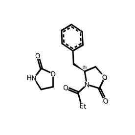 CCC(=O)N1C(=O)OC[C@@H]1Cc1ccccc1.O=C1NCCO1